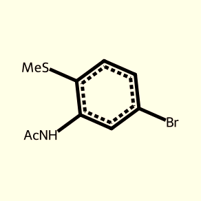 CSc1ccc(Br)cc1NC(C)=O